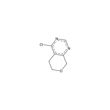 Clc1ncnc2c1CCOC2